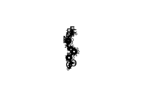 CCOC(=O)c1cccc(-c2cccc3cc(Cc4ccc(OCC(F)(F)F)nc4)sc23)c1